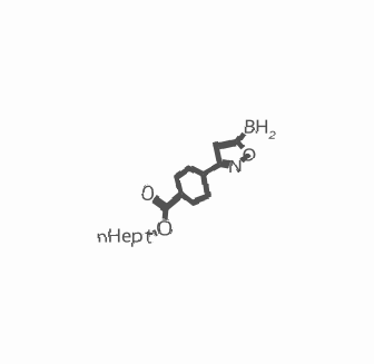 Bc1cc(C2CCC(C(=O)OCCCCCCC)CC2)no1